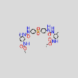 CCOC(=O)Nc1ccc(C)c(NC(=O)Nc2ccc(S(=O)(=O)c3ccc(NC(=O)Nc4cc(NC(=O)OCC)ccc4C)cc3)cc2)c1